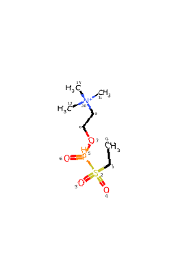 CCS(=O)(=O)[PH](=O)OCC[N+](C)(C)C